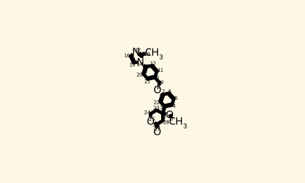 COC1(c2cccc(OCc3ccc(-n4ccnc4C)cc3)c2)CCOC(=O)C1